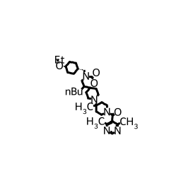 CCCCC1CN(C[C@H]2CC[C@@H](OCC)CC2)C(=O)OC12CCN(C1(C)CCN(C(=O)c3c(C)ncnc3C)CC1)CC2